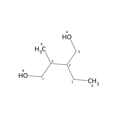 CCC(CO)C(C)CO